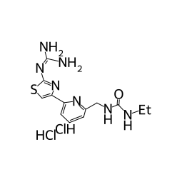 CCNC(=O)NCc1cccc(-c2csc(N=C(N)N)n2)n1.Cl.Cl